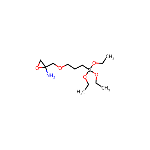 CCO[Si](CCCOCC1(N)CO1)(OCC)OCC